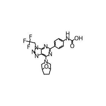 O=C(O)Nc1ccc(-c2nc(N3CC4CCC(C3)O4)c3nnn(CC(F)(F)F)c3n2)cc1